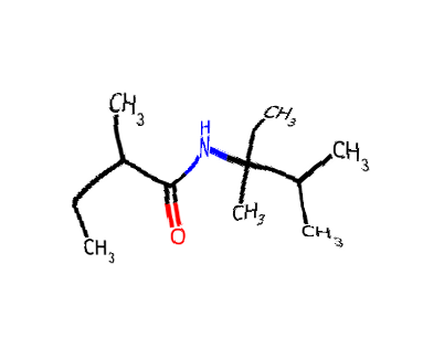 CCC(C)C(=O)NC(C)(C)C(C)C